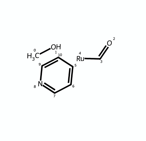 CO.O=[CH][Ru].c1ccncc1